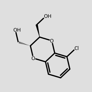 OC[C@H]1Oc2cccc(Cl)c2O[C@@H]1CO